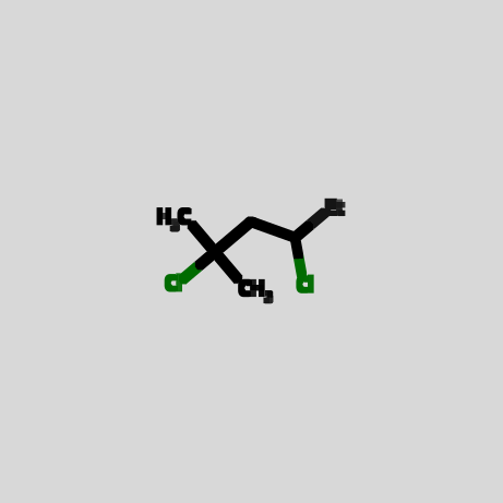 CCC(Cl)CC(C)(C)Cl